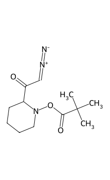 CC(C)(C)C(=O)ON1CCCCC1C(=O)C=[N+]=[N-]